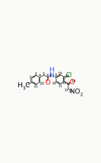 Cc1ccc(CC(=O)Nc2ccc(C(=O)C[N+](=O)[O-])c(Cl)c2)cc1